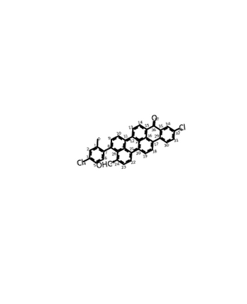 Cc1cc(Cl)ccc1-c1ccc2c3ccc4c5c(ccc(c6ccc(C=O)c1c26)c53)-c1ccc(Cl)cc1C4=O